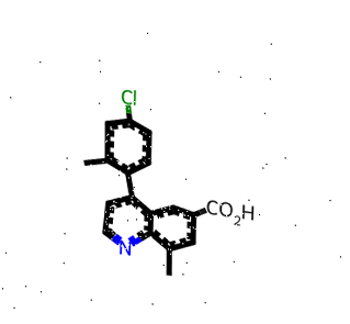 Cc1cc(Cl)ccc1-c1ccnc2c(C)cc(C(=O)O)cc12